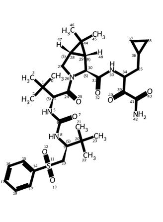 CC(C)(C)[C@H](NC(=O)N[C@H](CS(=O)(=O)c1ccccc1)C(C)(C)C)C(=O)N1C[C@H]2[C@@H]([C@H]1C(=O)NC(CC1CC1)C(=O)C(N)=O)C2(C)C